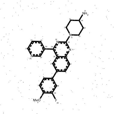 COc1ccc(-c2ccc3nc(N4CCC(N)CC4)nc(-c4cccnc4)c3c2)cc1F